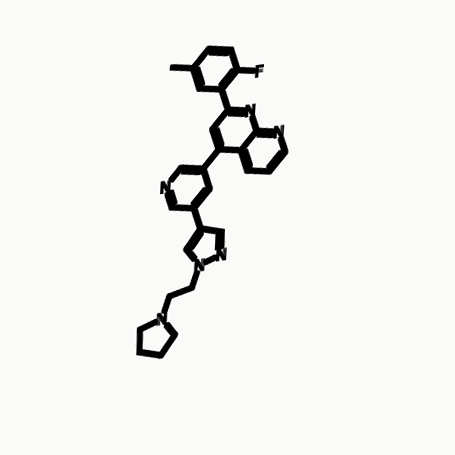 Cc1ccc(F)c(-c2cc(-c3cncc(-c4cnn(CCN5CCCC5)c4)c3)c3cccnc3n2)c1